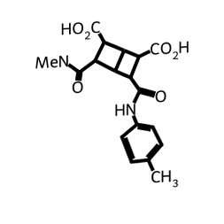 CNC(=O)C1C(C(=O)O)C2C(C(=O)O)C(C(=O)Nc3ccc(C)cc3)C12